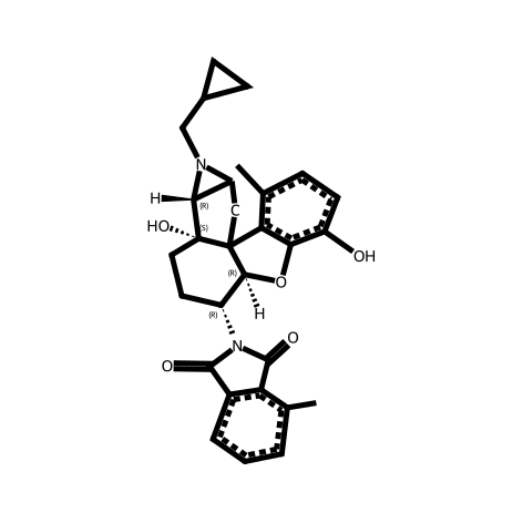 Cc1cccc2c1C(=O)N([C@@H]1CC[C@@]3(O)[C@H]4C(CC35c3c(C)ccc(O)c3O[C@@H]15)N4CC1CC1)C2=O